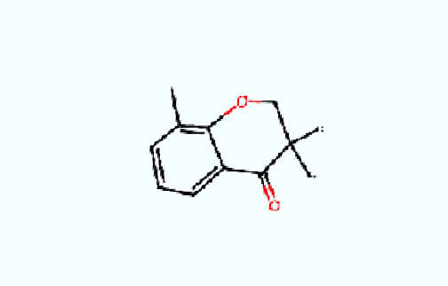 [CH]C1([CH])COc2c(C)cccc2C1=O